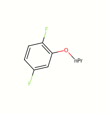 [CH2]CCOc1cc(F)ccc1F